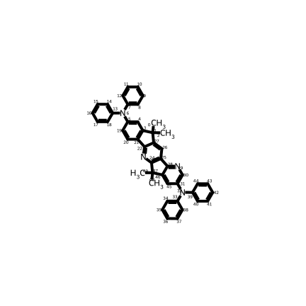 CC1(C)c2cc(N(c3ccccc3)c3ccccc3)ccc2-c2nc3c(cc21)-c1ncc(N(c2ccccc2)c2ccccc2)cc1C3(C)C